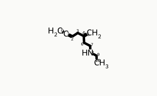 C=C=CCC(=C)CCNCC